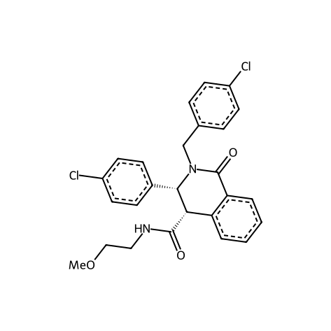 COCCNC(=O)[C@H]1c2ccccc2C(=O)N(Cc2ccc(Cl)cc2)[C@H]1c1ccc(Cl)cc1